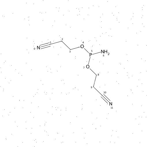 N#CCCOP(N)OCCC#N